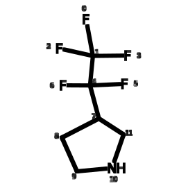 FC(F)(F)C(F)(F)C1CCNC1